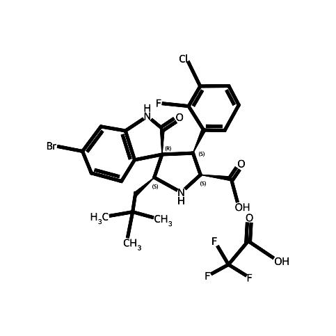 CC(C)(C)C[C@@H]1N[C@H](C(=O)O)[C@H](c2cccc(Cl)c2F)[C@]12C(=O)Nc1cc(Br)ccc12.O=C(O)C(F)(F)F